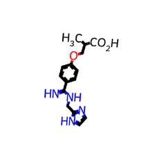 CC(COc1ccc(C(=N)NCc2ncc[nH]2)cc1)C(=O)O